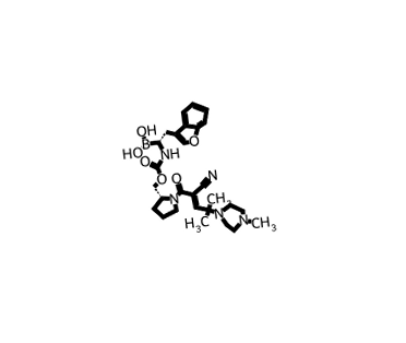 CN1CCN(C(C)(C)/C=C(\C#N)C(=O)N2CCC[C@@H]2COC(=O)N[C@@H](Cc2coc3ccccc23)B(O)O)CC1